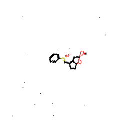 COC1CC2C(C[S+]([O-])c3ccccc3)CCC2O1